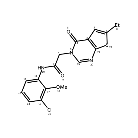 CCc1cc2c(=O)n(CC(=O)Nc3cccc(Cl)c3OC)cnc2s1